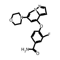 NC(=O)c1ccc(Oc2cc(N3CCOCC3)cn3nccc23)c(F)c1